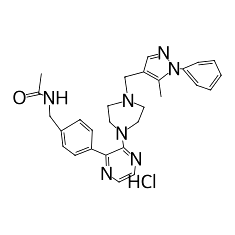 CC(=O)NCc1ccc(-c2nccnc2N2CCN(Cc3cnn(-c4ccccc4)c3C)CC2)cc1.Cl